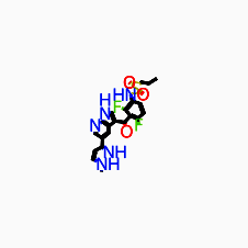 CCCS(=O)(=O)Nc1ccc(F)c(C(=O)c2c[nH]c3ncc(C(=N)/C=C\NC)cc23)c1F